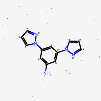 Nc1cc(-n2cccn2)cc(-n2cccn2)c1